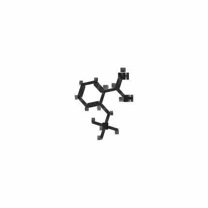 C[Si](C)(C)Cc1ccccc1C(=N)S